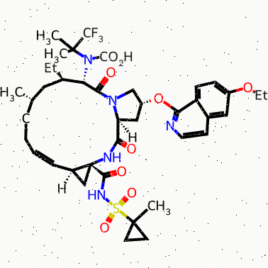 CCOc1ccc2c(O[C@@H]3C[C@H]4C(=O)N[C@]5(C(=O)NS(=O)(=O)C6(C)CC6)C[C@H]5/C=C\CC[C@H](C)C[C@@H](CC)[C@H](N(C(=O)O)C(C)(C)C(F)(F)F)C(=O)N4C3)nccc2c1